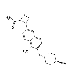 CC(C)(C)[C@H]1CC[C@H](Oc2ccc3cc([C]4COC4C(N)=O)ccc3c2C(F)(F)F)CC1